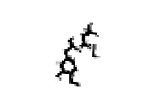 C=C(Cc1ccc(CC)c(C)c1)/N=C(\C=C(C)C)NC